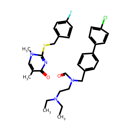 CCN(CC)CCN(C=O)Cc1ccc(-c2ccc(Cl)cc2)cc1.Cc1cn(C)c(SCc2ccc(F)cc2)nc1=O